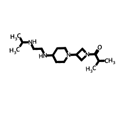 CC(C)NCCNC1CCN(C2CN(C(=O)C(C)C)C2)CC1